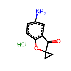 Cl.Nc1ccc2c(c1)C(=O)C1(CC1)O2